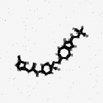 Cc1nnc(CC(=O)N[C@H]2CC[C@](F)(CCN3CCc4nc(OCC(C)(F)F)sc4CC3)CC2)o1